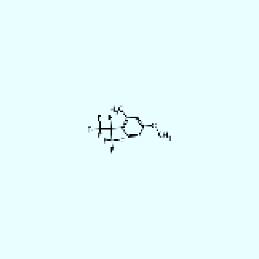 COc1ccc(C(F)(C(F)(F)F)C(F)(F)F)c(C)c1